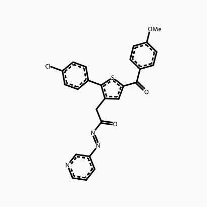 COc1ccc(C(=O)c2cc(CC(=O)N=Nc3cccnc3)c(-c3ccc(Cl)cc3)s2)cc1